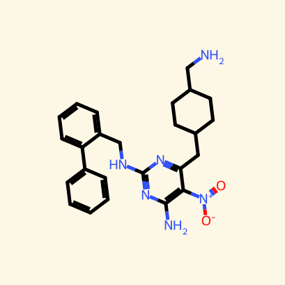 NCC1CCC(Cc2nc(NCc3ccccc3-c3ccccc3)nc(N)c2[N+](=O)[O-])CC1